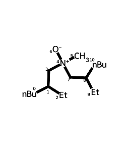 CCCCC(CC)C[N+](C)([O-])CC(CC)CCCC